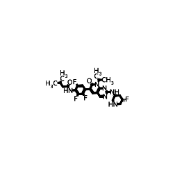 CC(C)CC(=O)Nc1c(F)cc(-c2cc3cnc(N[C@@H]4CNC[C@@H](F)C4)nc3n(C(C)C)c2=O)c(F)c1F